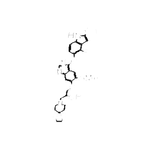 COc1cc2c(Oc3ccc4[nH]c(C)cc4c3F)ncnc2cc1OC[C@@H](O)CN1CCC2(CC1)OCCO2